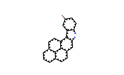 Brc1ccc2[nH]c3cc4ccc5cccc6ccc(c3c2c1)c4c56